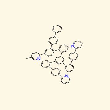 Cc1ccc(-c2ccc(-c3ccccc3-c3cc(-c4ccccc4-c4ccc(-c5ccccn5)cc4)cc(-c4ccccc4-c4ccc(-c5ccccn5)cc4)c3)c(-c3ccc(-c4ccccc4)cc3)c2)nc1